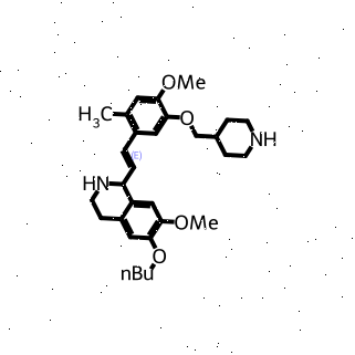 CCCCOc1cc2c(cc1OC)C(/C=C/c1cc(OCC3CCNCC3)c(OC)cc1C)NCC2